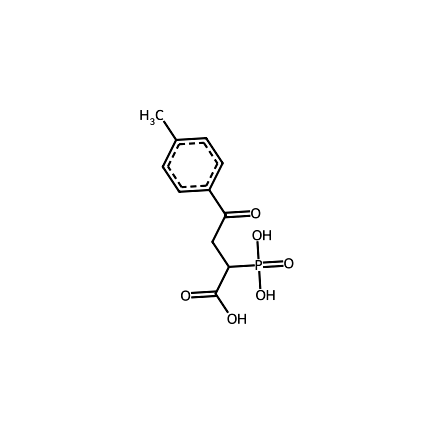 Cc1ccc(C(=O)CC(C(=O)O)P(=O)(O)O)cc1